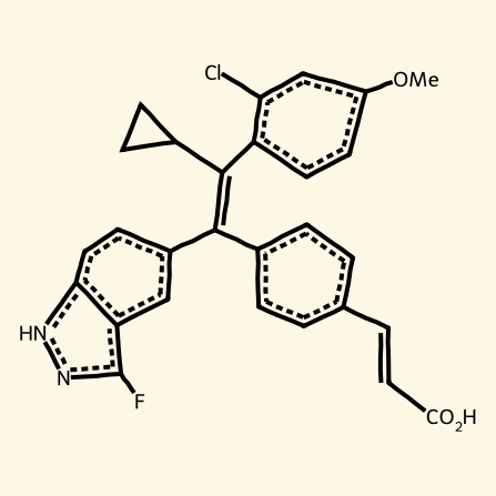 COc1ccc(/C(=C(\c2ccc(/C=C/C(=O)O)cc2)c2ccc3[nH]nc(F)c3c2)C2CC2)c(Cl)c1